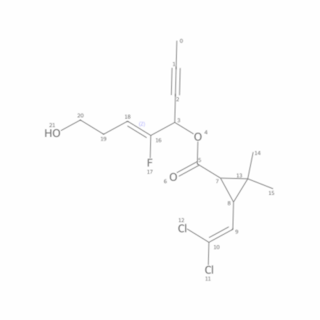 CC#CC(OC(=O)C1C(C=C(Cl)Cl)C1(C)C)/C(F)=C/CCO